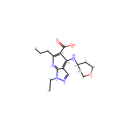 CCCc1nc2c(cnn2CC)c(NC2CCOCC2)c1C(=O)O